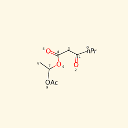 CCCC(=O)CC(=O)OC(C)OC(C)=O